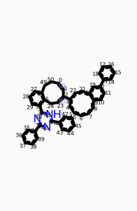 C1=C\C(c2cccccc3ccc(-c4ccccc4)cc3cc2)=C/Cc2c(cccc2C2N=C(c3ccccc3)N=C(c3ccccc3)N2)CC/1